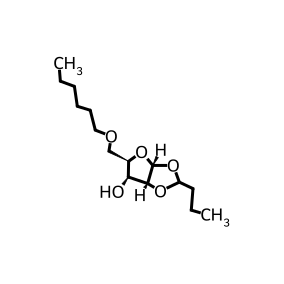 CCCCCCOC[C@H]1O[C@@H]2OC(CCC)O[C@@H]2[C@H]1O